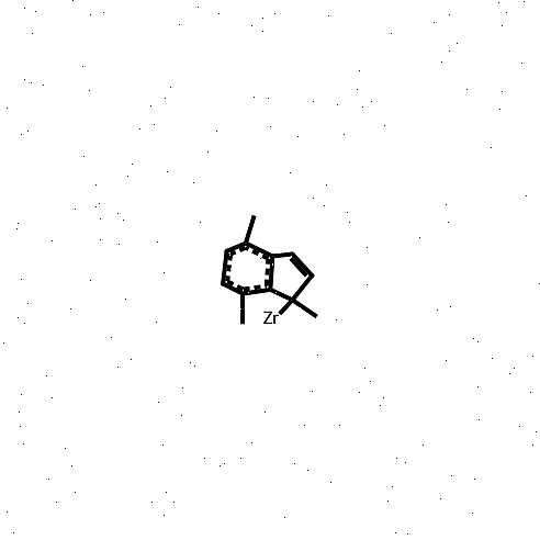 Cc1ccc(C)c2c1C=C[C]2(C)[Zr]